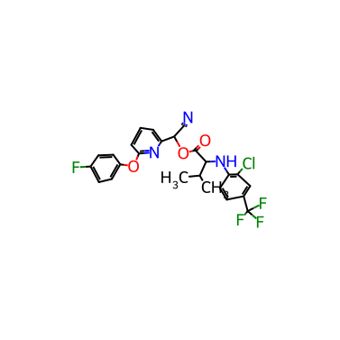 CC(C)C(Nc1ccc(C(F)(F)F)cc1Cl)C(=O)OC(C#N)c1cccc(Oc2ccc(F)cc2)n1